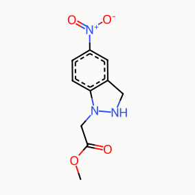 COC(=O)CN1NCc2cc([N+](=O)[O-])ccc21